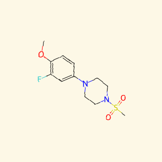 COc1ccc(N2CCN(S(C)(=O)=O)CC2)cc1F